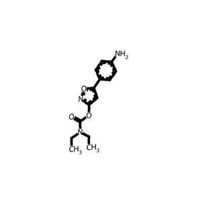 CCN(CC)C(=O)Oc1cc(-c2ccc(N)cc2)on1